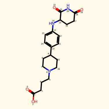 O=C(O)CCCN1CCC(c2ccc(NC3CCC(=O)NC3=O)cc2)CC1